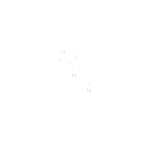 Clc1nccnc1N1CCN(C(Cc2ccccc2)c2cn[nH]c2)CC1